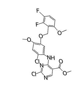 COC(=O)c1cnc(Cl)nc1Nc1cc(OCc2c(OC)ccc(F)c2F)c(OC)cc1Cl